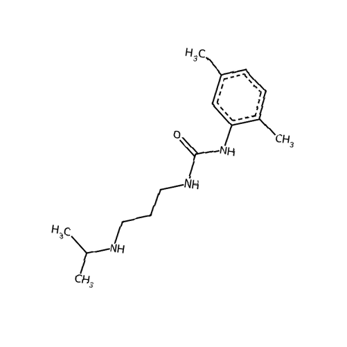 Cc1ccc(C)c(NC(=O)NCCCNC(C)C)c1